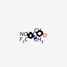 CN(c1ccc(C#N)c(C(F)(F)F)c1)C1CC(=O)CCC1(C)C